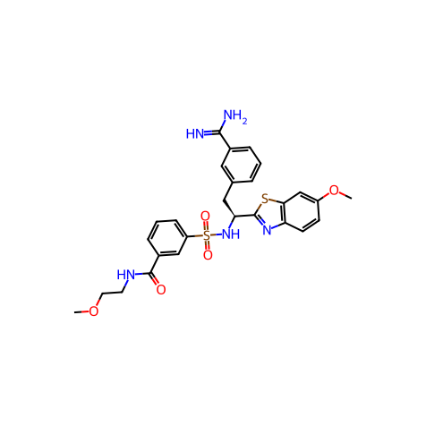 COCCNC(=O)c1cccc(S(=O)(=O)N[C@@H](Cc2cccc(C(=N)N)c2)c2nc3ccc(OC)cc3s2)c1